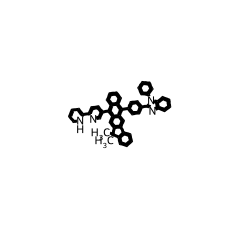 CC1(C)c2ccccc2-c2cc3c(-c4ccc(-c5nc6ccccc6n5-c5ccccc5)cc4)c4ccccc4c(-c4ccc(C5=CC=CCN5)nc4)c3cc21